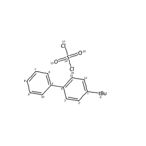 CC(C)(C)c1ccc(-c2ccccc2)cc1.O=S(=O)(Cl)Cl